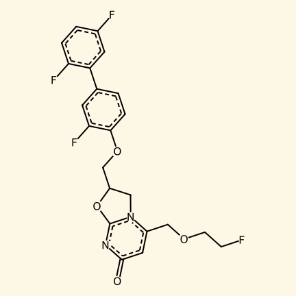 O=c1cc(COCCF)n2c(n1)OC(COc1ccc(-c3cc(F)ccc3F)cc1F)C2